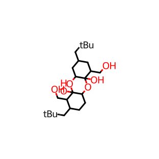 CC(C)(C)CC1CC(CO)C2(O)OC3CCC(CC(C)(C)C)C(CO)C3(O)OC2C1